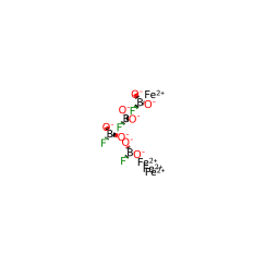 [Fe+2].[Fe+2].[Fe+2].[Fe+2].[O-]B([O-])F.[O-]B([O-])F.[O-]B([O-])F.[O-]B([O-])F